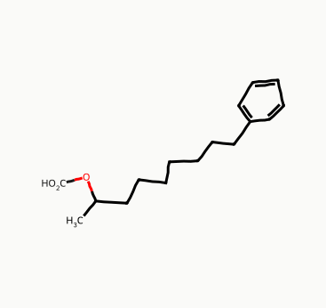 CC(CCCCCCCc1ccccc1)OC(=O)O